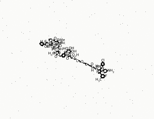 CC[C@H](C)[C@@H]([C@@H](CC(=O)N1CCC[C@H]1[C@H](OC)[C@@H](C)C(=O)N[C@H](C)[C@@H](O)c1ccccc1)OC)N(C)C(=O)[C@@H](NC(=O)[C@H](C(C)C)N(C)C(=O)OCc1ccc(NC(=O)CCOCCOCCOCCOCCC(=O)NCCNc2ncc(-c3cc(C)cc(F)c3)c(N3CCC(N)CC3)c2-c2nc3ccc(Cl)cc3[nH]2)c(O[C@@H]2O[C@H](C(=O)O)[C@@H](O)[C@H](O)[C@H]2O)c1)C(C)C